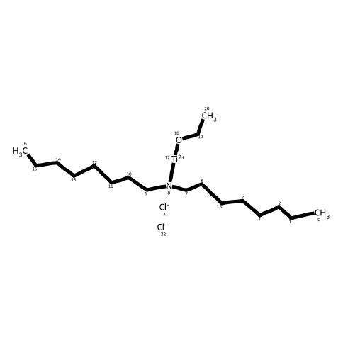 CCCCCCCC[N](CCCCCCCC)[Ti+2][O]CC.[Cl-].[Cl-]